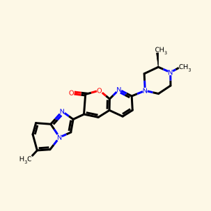 Cc1ccc2nc(-c3cc4ccc(N5CCN(C)[C@H](C)C5)nc4oc3=O)cn2c1